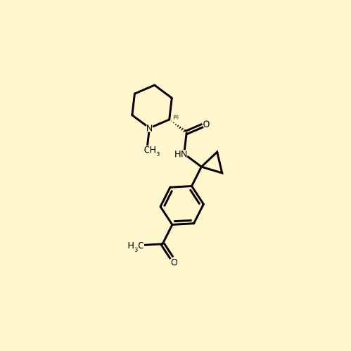 CC(=O)c1ccc(C2(NC(=O)[C@H]3CCCCN3C)CC2)cc1